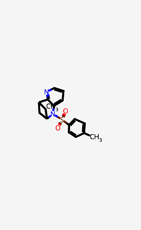 Cc1ccc(S(=O)(=O)N2c3cccnc3C3CC2C3C)cc1